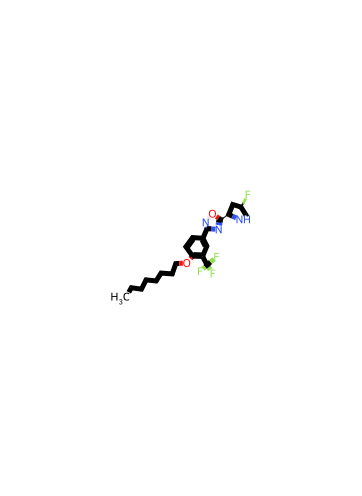 CCCCCCCCOc1ccc(-c2noc([C@@H]3C[C@@H](F)CN3)n2)cc1C(F)(F)F